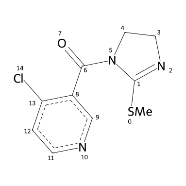 CSC1=NCCN1C(=O)c1cnccc1Cl